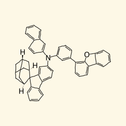 c1cc(-c2cccc3c2oc2ccccc23)cc(N(c2ccc3c(c2)C2(c4ccccc4-3)[C@H]3CC4C[C@H](C3)C[C@@H]2C4)c2ccc3ccccc3c2)c1